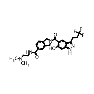 CN(C)CCNC(=O)c1ccc2c(c1)CN(C(=O)c1cc3c(CCC(F)(F)F)n[nH]c3cc1O)C2